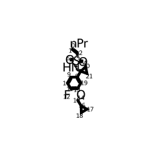 CCC/C=C/S(=O)(=O)NC1(c2ccc(F)c(OCC3CC3)c2)CC1